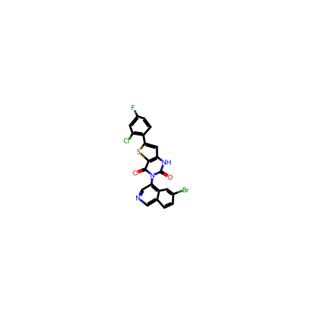 O=c1[nH]c2cc(-c3ccc(F)cc3Cl)sc2c(=O)n1-c1cncc2ccc(Br)cc12